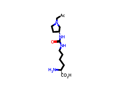 CC(=O)CN1CC[C@@H](NC(=O)NCCCC[C@@H](N)C(=O)O)C1